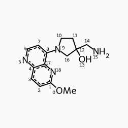 COc1ccc2nccc(N3CCC(O)(CN)C3)c2n1